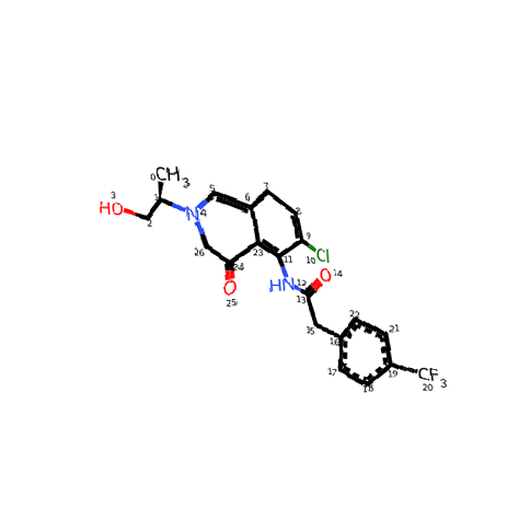 C[C@H](CO)N1C=C2CC=C(Cl)C(NC(=O)Cc3ccc(C(F)(F)F)cc3)=C2C(=O)C1